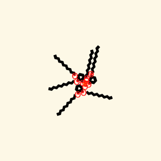 C=CCCCCCCCCCOc1cccc(OP(=O)(Oc2cccc(OCCCCCCCCCC=C)c2OCCCCCCCCCC=C)Oc2cccc(OCCCCCCCCCC=C)c2OCCCCCCCCCC=C)c1OCCCCCCCCCC=C